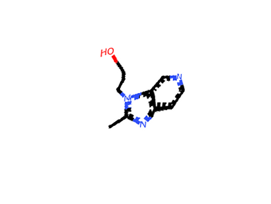 Cc1nc2ccncc2n1CCO